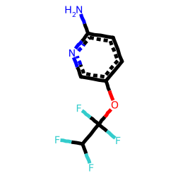 Nc1ccc(OC(F)(F)C(F)F)cn1